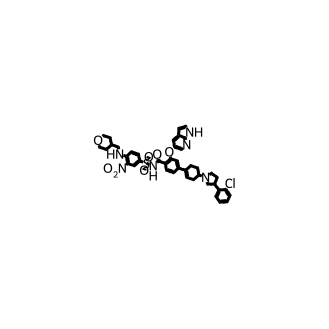 O=C(NS(=O)(=O)c1ccc(NCC2CCOCC2)c([N+](=O)[O-])c1)c1ccc(C2=CCC(N3CCC(c4ccccc4Cl)C3)CC2)cc1Oc1cnc2[nH]ccc2c1